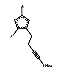 CCCCCCC#CCCc1cc(Br)sc1Br